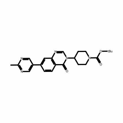 Cc1ncc(-c2ccc3c(=O)n(C4CCN(C(=O)OC(C)(C)C)CC4)cnc3c2)cn1